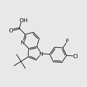 CC(C)(C)c1cn(-c2ccc(Cl)c(F)c2)c2ccc(C(=O)O)nc12